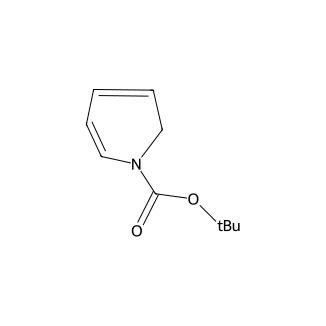 CC(C)(C)OC(=O)N1C=CC=CC1